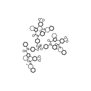 C[C@@H]1Cc2ccccc2CN1C(=O)c1cc2c(cc1-c1cc(C(=O)N(c3ccccc3)c3ccc(OP(=O)(Oc4ccc(N(C(=O)c5cc(-c6cc7c(cc6C(=O)N6Cc8ccccc8C[C@H]6C)OCO7)n6c5CCCC6)c5ccccc5)cc4)Oc4ccc(N(C(=O)c5cc(-c6cc7c(cc6C(=O)N6Cc8ccccc8C[C@H]6C)OCO7)n6c5CCCC6)c5ccccc5)cc4)cc3)c3n1CCCC3)OCO2